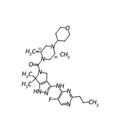 CCCc1ncc(F)c(Nc2n[nH]c3c2CN(C(=O)N2C[C@@H](C)N(C4CCOCC4)C[C@@H]2C)C3(C)C)n1